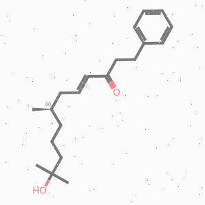 C[C@@H](C/C=C/C(=O)CCc1ccccc1)CCCC(C)(C)O